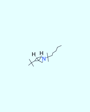 CCCCCC(C)(C)N1CC23C(C(C)(C)C)[C@H]2[C@@H]13